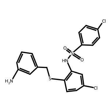 Nc1cccc(CSc2ccc(Cl)cc2NS(=O)(=O)c2ccc(Cl)cc2)c1